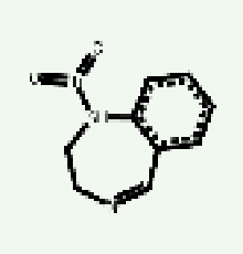 [O]=[Ti](=[O])[SH]1CCN=Cc2ccccc21